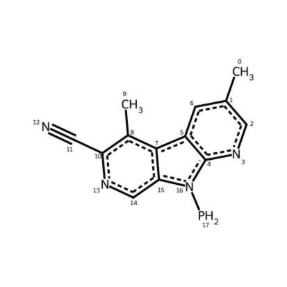 Cc1cnc2c(c1)c1c(C)c(C#N)ncc1n2P